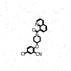 N#Cc1cc(Cl)ccc1OC1CCN(C(=O)c2cccc3cccnc23)CC1